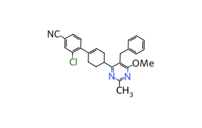 COc1nc(C)nc(C2CC=C(c3ccc(C#N)cc3Cl)CC2)c1Cc1ccccc1